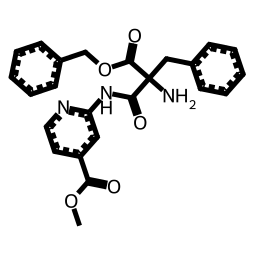 COC(=O)c1ccnc(NC(=O)C(N)(Cc2ccccc2)C(=O)OCc2ccccc2)c1